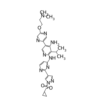 CC(C)c1c(Nc2ccnc(-c3cnn(S(=O)(=O)C4CC4)c3)n2)ncc(-c2cnc(OCCN(C)C)cn2)c1N